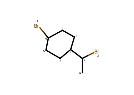 CC(Br)C1CCC(Br)CC1